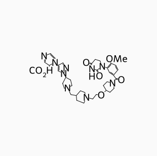 COc1ccc(C(=O)N2CCC(OCCN3CCC(CN4CCC(n5cc(N6C=CN=CC6C(=O)O)cn5)CC4)CC3)CC2)cc1N1CCC(=O)NC1=O